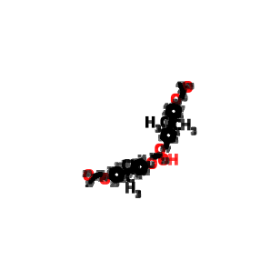 CC(C)(c1ccc(COC(O)COc2ccc(C(C)(C)c3ccc(OCC4CO4)cc3)cc2)cc1)c1ccc(OCC2CO2)cc1